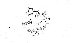 CC/C(=C\c1ccccc1)[C@@H]1C[C@H]1N[C@H]1CC[C@@H](NCC(C)(C)C(=O)O)CC1.Cl.Cl